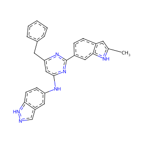 Cc1cc2ccc(-c3nc(Cc4ccccc4)cc(Nc4ccc5[nH]ncc5c4)n3)cc2[nH]1